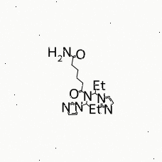 CCC(N(C(=O)CCCCC(N)=O)C(CC)n1ccnc1)n1ccnc1